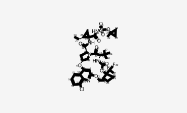 CCOc1cc(O[C@@H]2C[C@@H](C(=O)N[C@]3(C(=O)NS(=O)(=O)OC4(C)CC4)C[C@H]3CC)N(C(=O)[C@@H](NC(=O)OC3(C(F)(F)F)CCC3)C(C)(C)C)C2)c2cccc(Cl)c2n1